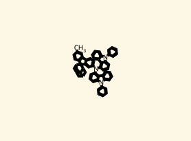 Cc1ccc2c(c1)-c1ccc(N(c3cccc4c3c3ccccc3n4-c3ccccc3)c3cccc4c3c3ccccc3n4-c3ccccc3)cc1C21C2CC3CC(C2)CC1C3